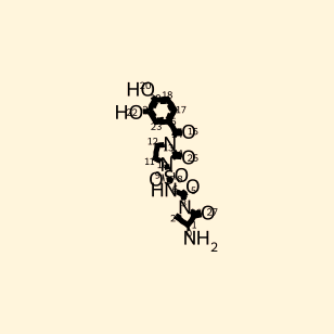 N[C@H]1CN(C(=O)NS(=O)(=O)N2CCN(C(=O)c3ccc(O)c(O)c3)C2=O)C1=O